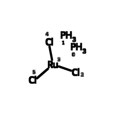 P.P.[Cl][Ru]([Cl])[Cl]